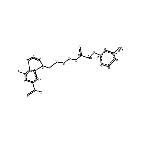 C=C(C)c1cc(C)c2c(n1)C(CCCCCC(=O)NCc1cccc(C(F)(F)F)c1)C=C=C2